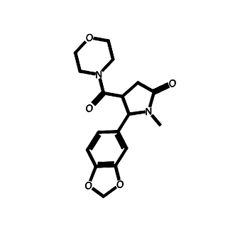 CN1C(=O)CC(C(=O)N2CCOCC2)C1c1ccc2c(c1)OCO2